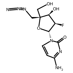 [N-]=[N+]=NC[C@]1(CO)O[C@@H](n2ccc(N)nc2=O)[C@H](F)[C@@H]1O